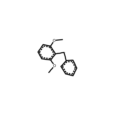 COc1cccc(OC)c1[CH]c1ccccc1